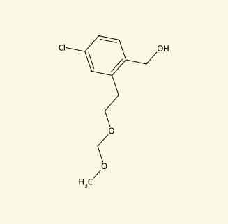 COCOCCc1cc(Cl)ccc1CO